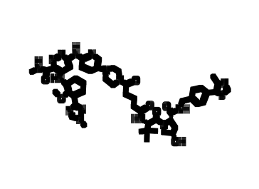 CNC(=O)c1nnc(Nc2ccc(N3CCN(C(=O)CCCC(=O)N[C@H](C(=O)N4C[C@H](O)C[C@H]4C(=O)NCc4ccc(-c5scnc5C)cc4)C(C)(C)C)CC3)cn2)cc1Nc1cccc(-c2ncn(C)n2)c1OC